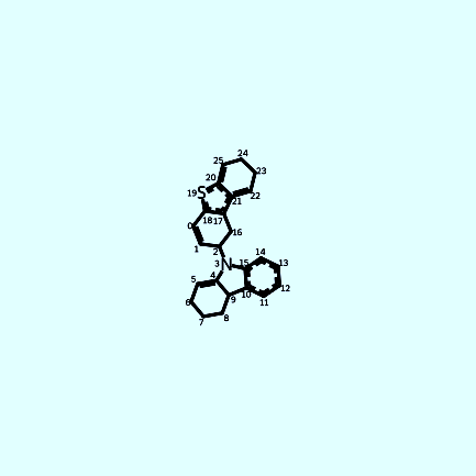 C1=CC(N2C3=CCCCC3c3ccccc32)Cc2c1sc1c2=CCCC=1